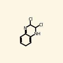 ClC1N=C2C=CCC=C2NC1Cl